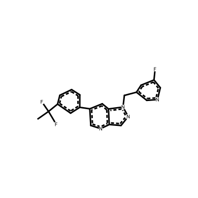 CC(F)(F)c1cccc(-c2cnc3cnn(Cc4cncc(F)c4)c3c2)c1